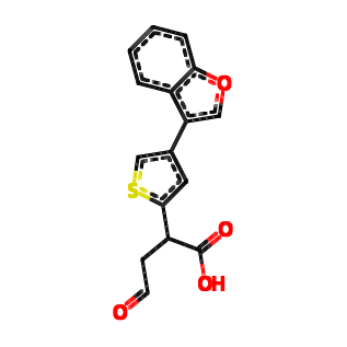 O=CCC(C(=O)O)c1cc(-c2coc3ccccc23)cs1